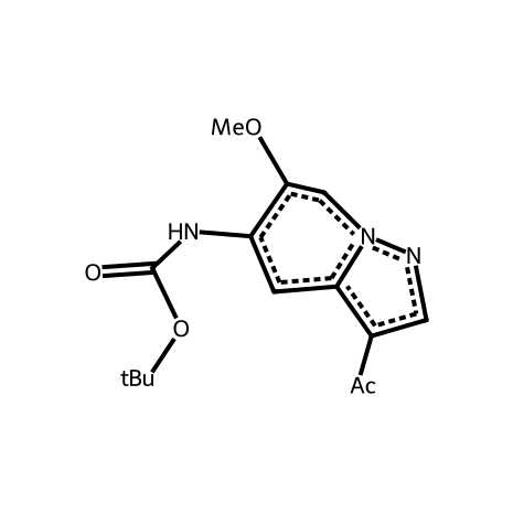 COc1cn2ncc(C(C)=O)c2cc1NC(=O)OC(C)(C)C